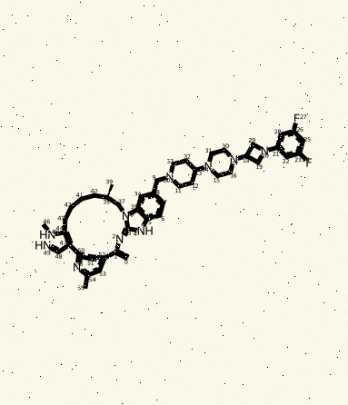 C=C1/N=C2\Nc3ccc(CN4CCC(N5CCN(C6CN(c7cc(F)cc(F)c7)C6)CC5)CC4)cc3N2C[C@H](C)CCCC/C(NC)=C(/C=N)c2cc1cc(C)n2